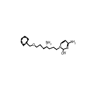 NC1=NC(O)N(CCC[C@@H](N)CCCOCc2ccccc2)C=C1